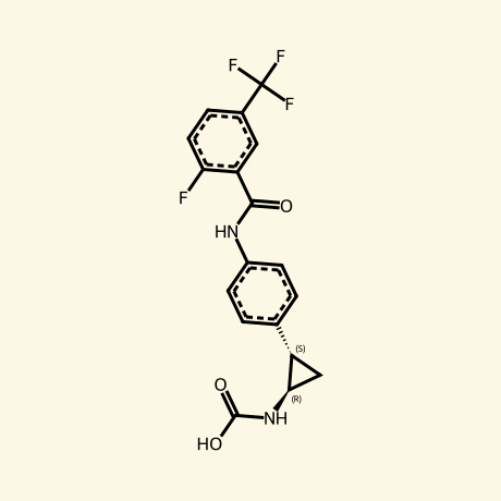 O=C(O)N[C@@H]1C[C@H]1c1ccc(NC(=O)c2cc(C(F)(F)F)ccc2F)cc1